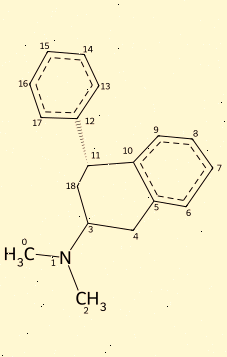 CN(C)C1Cc2ccccc2[C@@H](c2ccccc2)C1